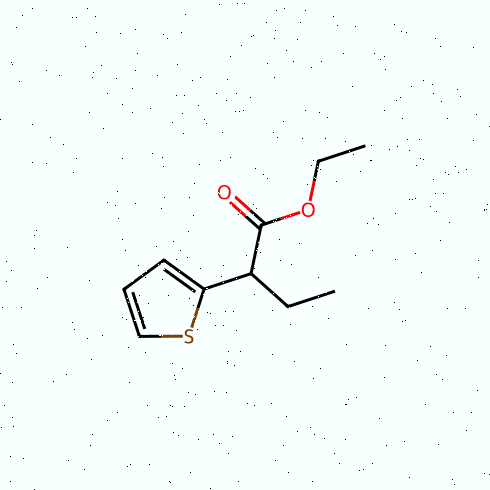 CCOC(=O)C(CC)c1cccs1